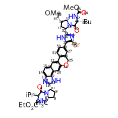 CCOC(=O)N[C@H](C(=O)N1[C@@H](C)CC[C@H]1c1nc2ccc3cc4c(cc3c2[nH]1)OCc1cc(-c2[nH]c([C@@H]3C[C@H](COC)CN3C(=O)[C@@H](NC(=O)OC)[C@@H](C)CC)nc2Br)ccc1-4)C(C)C